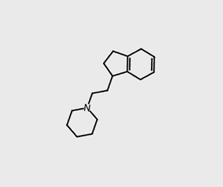 C1=CCC2=C(C1)CCC2CCN1CCCCC1